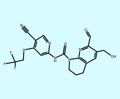 N#Cc1cnc(NC(=O)N2CCCc3cc(CO)c(C=O)nc32)cc1OCC(F)(F)F